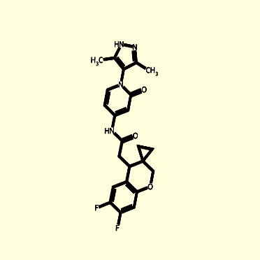 Cc1n[nH]c(C)c1-n1ccc(NC(=O)CC2c3cc(F)c(F)cc3OCC23CC3)cc1=O